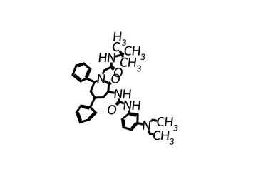 CCN(CC)c1cccc(NC(=O)NC2CC(c3ccccc3)CC(c3ccccc3)N(CC(=O)NC(C)(C)C)C2=O)c1